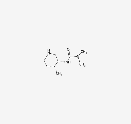 C[C@@H]1CCNC[C@@H]1NC(=O)N(C)C